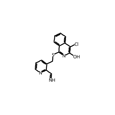 N=Cc1ncccc1CSc1nc(O)c(Cl)c2ccccc12